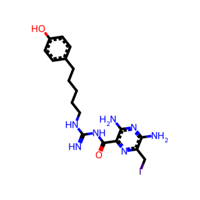 N=C(NCCCCCc1ccc(O)cc1)NC(=O)c1nc(CI)c(N)nc1N